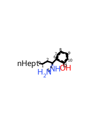 CCCCCCCCCC(NN)c1ccccc1O